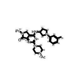 CC(=O)N1CCN(c2nc(NC3CCN(c4cccc(C)c4)C3)c3c(n2)C(=O)N(C(C)C)C3)CC1